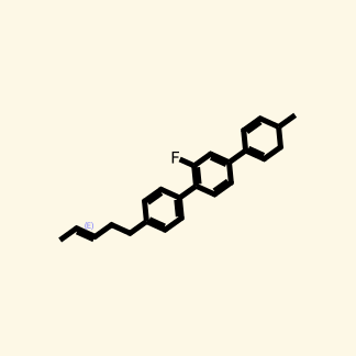 C/C=C/CCc1ccc(-c2ccc(C3=CCC(C)C=C3)cc2F)cc1